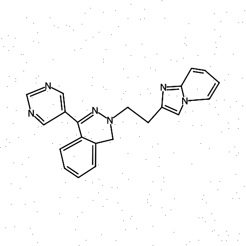 c1ccc2c(c1)CN(CCc1cn3ccccc3n1)N=C2c1cncnc1